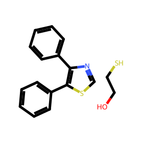 OCCS.c1ccc(-c2ncsc2-c2ccccc2)cc1